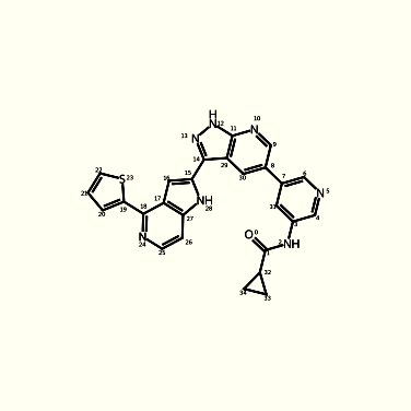 O=C(Nc1cncc(-c2cnc3[nH]nc(-c4cc5c(-c6cccs6)nccc5[nH]4)c3c2)c1)C1CC1